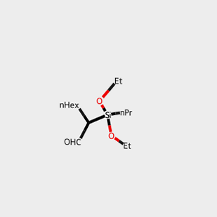 CCCCCCC(C=O)[Si](CCC)(OCC)OCC